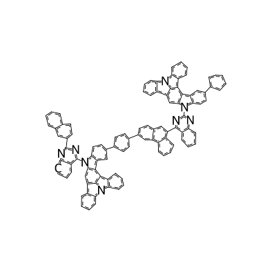 c1ccc(-c2ccc3c(c2)c2c4c5ccccc5n5c6ccccc6c(cc2n3-c2nc(-c3cc6ccc(-c7ccc(-c8ccc9c(c8)c8c%10c%11ccccc%11n%11c%12ccccc%12c(cc8n9-c8nc(-c9ccc%12ccccc%12c9)nc9ccccc89)c%10%11)cc7)cc6c6ccccc36)c3ccccc3n2)c45)cc1